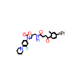 CCCc1ccc(C(=O)CCC(=O)NCC2CN(c3ccc(N4CCCCC4)c(F)c3)C(=O)O2)c(C)c1